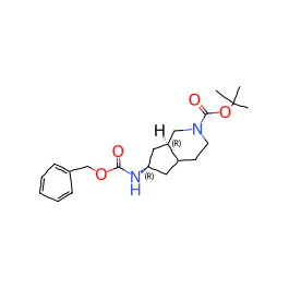 CC(C)(C)OC(=O)N1CCC2C[C@@H](NC(=O)OCc3ccccc3)C[C@H]2C1